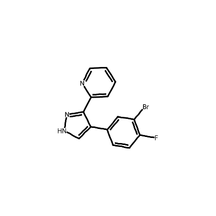 Fc1ccc(-c2c[nH]nc2-c2ccccn2)cc1Br